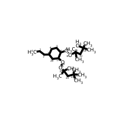 CCCC1CCC(OOC(C)(C)CC(C)(C)C)C(OOC(C)(C)CC(C)(C)C)C1